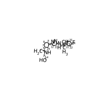 C=C(NCCO)c1cccc(-c2ccc(NCC(C)(C)c3ccc(F)cc3)nn2)c1